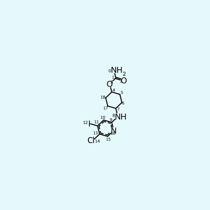 NC(=O)OC1CCC(Nc2cc(I)c(Cl)cn2)CC1